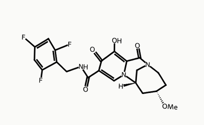 CO[C@H]1CCN2C[C@H](C1)n1cc(C(=O)NCc3c(F)cc(F)cc3F)c(=O)c(O)c1C2=O